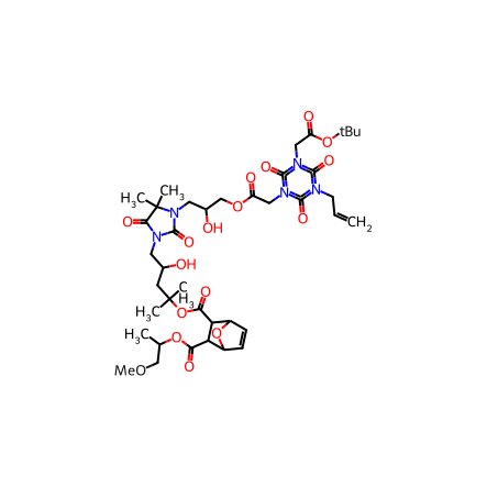 C=CCn1c(=O)n(CC(=O)OCC(O)CN2C(=O)N(CC(O)CC(C)(C)OC(=O)C3C4C=CC(O4)C3C(=O)OC(C)COC)C(=O)C2(C)C)c(=O)n(CC(=O)OC(C)(C)C)c1=O